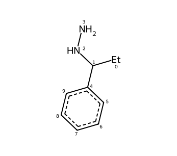 CCC(NN)c1ccccc1